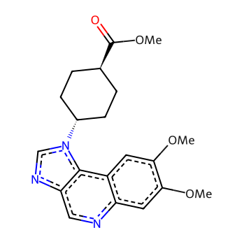 COc1cc2ncc3ncn([C@H]4CC[C@H](C(=O)OC)CC4)c3c2cc1OC